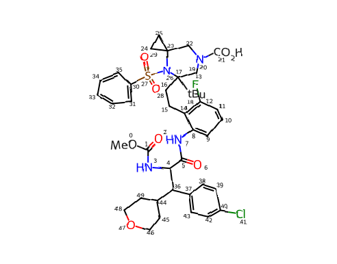 COC(=O)NC(C(=O)Nc1cccc(F)c1CCC1(C(C)(C)C)CN(C(=O)O)CC2(CC2)N1S(=O)(=O)c1ccccc1)C(c1ccc(Cl)cc1)C1CCOCC1